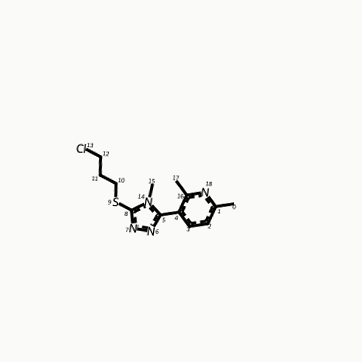 Cc1ccc(-c2nnc(SCCCCl)n2C)c(C)n1